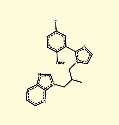 COc1ccc(F)cc1-c1nccn1CC(C)Cn1cnc2cccnc21